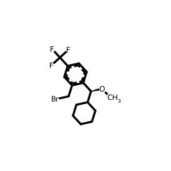 CO[C@H](c1ccc(C(F)(F)F)cc1CBr)C1CCCCC1